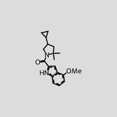 COc1cccc2[nH]c(C(=O)N3CC(C4CC4)CC3(C)C)cc12